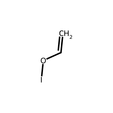 C=COI